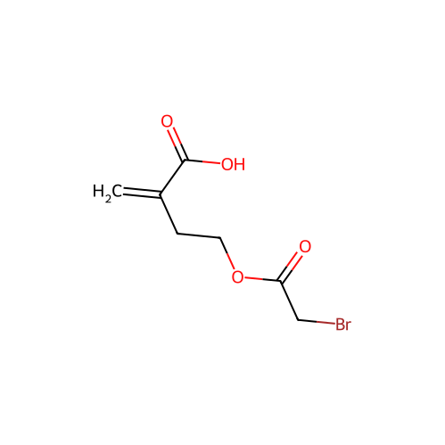 C=C(CCOC(=O)CBr)C(=O)O